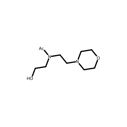 CC(=O)N(CCO)CCN1CCOCC1